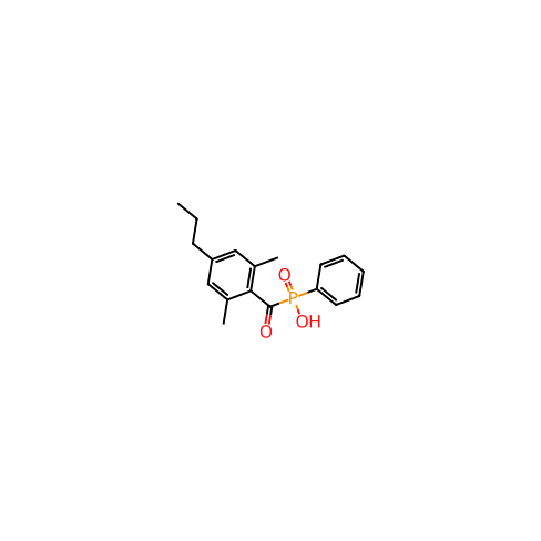 CCCc1cc(C)c(C(=O)P(=O)(O)c2ccccc2)c(C)c1